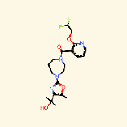 Cc1oc(N2CCCN(C(=O)c3cccnc3OCC(F)F)CC2)nc1C(C)(C)O